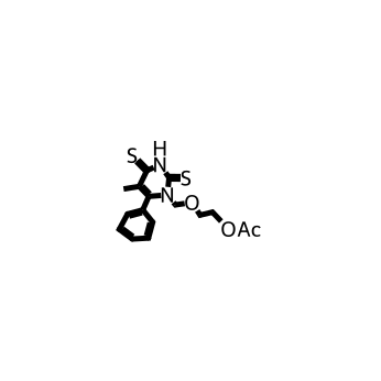 CC(=O)OCCOCn1c(-c2ccccc2)c(C)c(=S)[nH]c1=S